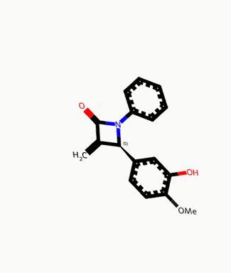 C=C1C(=O)N(c2ccccc2)[C@H]1c1ccc(OC)c(O)c1